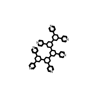 c1cc(C2CC(c3ccncc3)CC(C3CC(c4ccncc4)CC(C4CC(c5ccncc5)CC(C5CC(c6ccncc6)CC(C6CC(c7ccncc7)CC(c7ccncc7)C6)C5)C4)C3)C2)ccn1